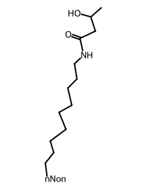 CCCCCCCCCCCCCCCCCCNC(=O)CC(C)O